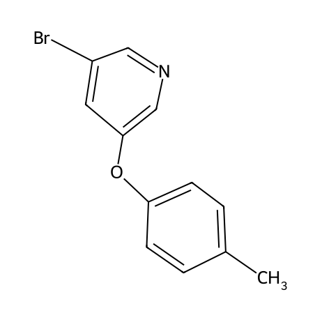 Cc1ccc(Oc2cncc(Br)c2)cc1